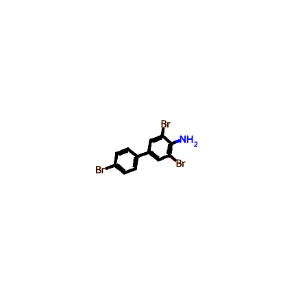 Nc1c(Br)cc(-c2ccc(Br)cc2)cc1Br